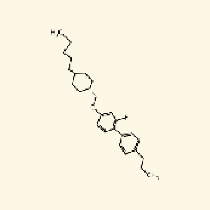 CCCCC[C@H]1CC[C@H](COc2ccc(-c3ccc(CCC)cc3)c(F)c2)CC1